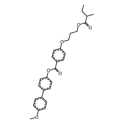 CCC(C)C(=O)OCCCOc1ccc(C(=O)Oc2ccc(-c3ccc(OC)cc3)cc2)cc1